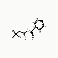 CC(C)(C)CC(=O)OC(=O)c1ccccc1